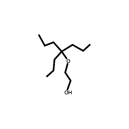 CCCC(CCC)(CCC)OCCO